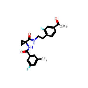 COC(=O)c1ccc(CCNC(=O)C2(NC(=O)c3cc(F)cc(C(F)(F)F)c3)CC2)c(F)c1